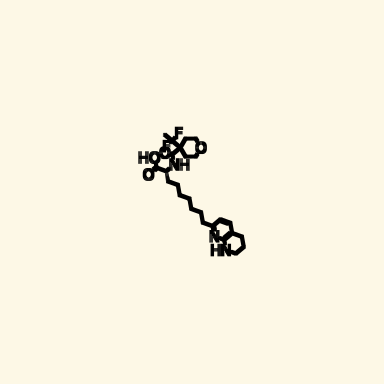 CC(F)(F)C1(C(=O)N[C@@H](CCCCCCCc2ccc3c(n2)NCCC3)C(=O)O)CCOCC1